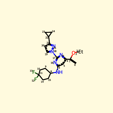 C=C(OCC)c1cc(NC2CCC(F)(F)CC2)nc(-n2ccc(C3CC3)n2)n1